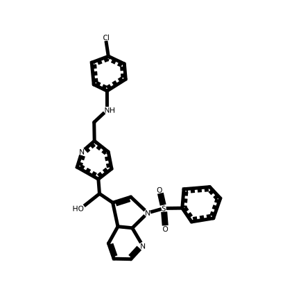 O=S(=O)(c1ccccc1)N1C=C(C(O)c2ccc(CNc3ccc(Cl)cc3)nc2)C2C=CC=NC21